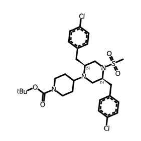 CC(C)(C)OC(=O)N1CCC(N2C[C@H](Cc3ccc(Cl)cc3)N(S(C)(=O)=O)C[C@@H]2Cc2ccc(Cl)cc2)CC1